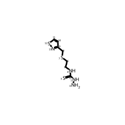 NNC(=S)NCCSCc1ccsn1